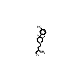 CC(C)CC(N)CCN1CC[C@](C)(c2cccc(O)c2)[C@@H](C)C1